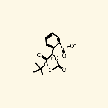 CC(C)(C)OC(=O)[C@H](OC(=O)Cl)c1ccccc1[N+](=O)[O-]